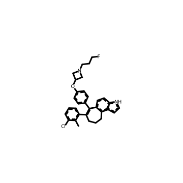 Cc1c(Cl)cccc1C1=C(c2ccc(OC3CN(CCCF)C3)cc2)c2ccc3[nH]ccc3c2CCC1